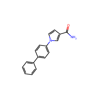 NC(=O)c1ccn(-c2ccc(-c3ccccc3)cc2)c1